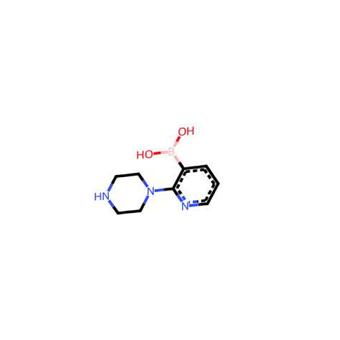 OB(O)c1cccnc1N1CCNCC1